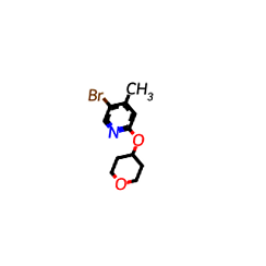 Cc1cc(OC2CCOCC2)ncc1Br